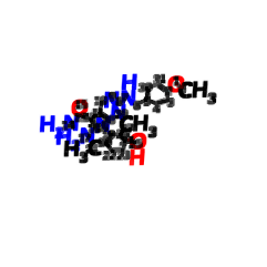 COc1ccc(CNc2ncc3c(C(N)=O)c(N)n(-c4c(C)ccc(O)c4C)c3n2)cc1